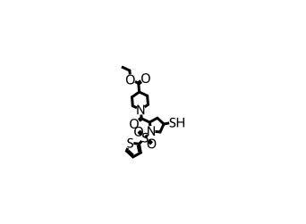 CCOC(=O)C1CCN(C(=O)C2CC(S)CN2S(=O)(=O)c2cccs2)CC1